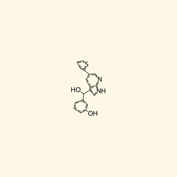 Oc1cccc(C(O)c2c[nH]c3ncc(-c4cccs4)cc23)c1